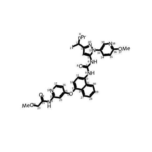 CCCC(I)c1cc(NC(=O)Nc2ccc(Oc3ccnc(NC(=O)COC)c3)c3ccccc23)n(-c2ccc(OC)nc2)n1